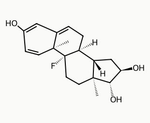 C[C@]12CC[C@]3(F)[C@@H](CC=C4C=C(O)C=C[C@@]43C)[C@@H]1C[C@@H](O)[C@@H]2O